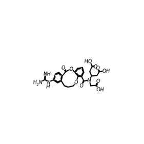 N=C(N)Nc1ccc2c(c1)CCCOc1c(cccc1C(=O)N(CC(=O)O)C(CC(=O)O)CC(=O)O)OC2=O